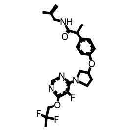 C=C(C)CNC(=O)C(C)c1ccc(OC2CCN(c3ncnc(OCC(C)(F)F)c3F)C2)cc1